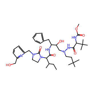 CCC(C)C(C(=O)NC(Cc1ccccc1)C(O)CN(CCC(C)(C)C)NC(=O)C(NC(=O)OC)C(C)(C)C)N1CCN(Cc2cccc(CO)n2)C1=O